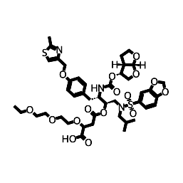 CCOCCOCCOC(CC(=O)O[C@H](CN(CC(C)C)S(=O)(=O)c1ccc2c(c1)OCO2)[C@H](Cc1ccc(OCc2csc(C)n2)cc1)NC(=O)O[C@H]1CO[C@H]2OCC[C@H]21)C(=O)O